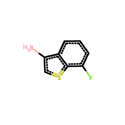 Bc1csc2c(F)cccc12